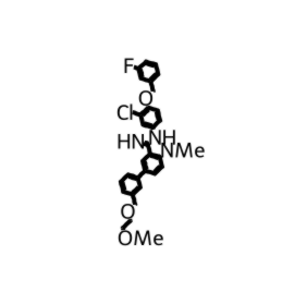 CNc1ccc(-c2cccc(COCCOC)c2)cc1C(=N)Nc1ccc(OCc2cccc(F)c2)c(Cl)c1